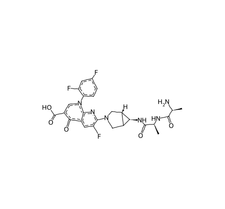 C[C@H](N)C(=O)N[C@@H](C)C(=O)N[C@H]1C2CN(c3nc4c(cc3F)c(=O)c(C(=O)O)cn4-c3ccc(F)cc3F)C[C@@H]21